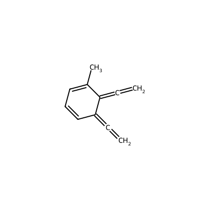 C=C=c1cccc(C)c1=C=C